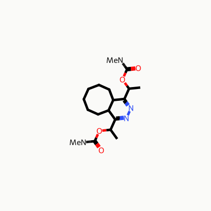 CNC(=O)OC(C)C1=NN=C(C(C)OC(=O)NC)C2CCCCCCC12